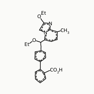 CCOc1cn2c(C(OCC)c3ccc(-c4ccccc4C(=O)O)cc3)ccc(C)c2n1